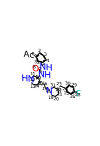 CC(=O)c1cccc(NC(=O)N[C@H]2CNCC[C@H]2CCN2CCC[C@@H](Cc3ccc(F)cc3)C2)c1